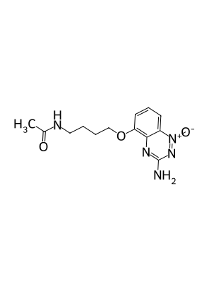 CC(=O)NCCCCOc1cccc2c1nc(N)n[n+]2[O-]